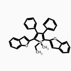 CC[Si]1(C)C(c2cc3ccccc3o2)=C(c2ccccc2)C(c2ccccc2)=C1c1cc2ccccc2o1